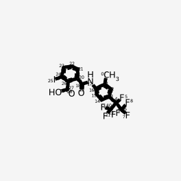 Cc1cc(C(F)(C(F)(F)F)C(F)(F)F)ccc1NC(=O)c1cccc(I)c1C(=O)O